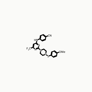 COc1ccc(SN2CCN(c3nc(Nc4ccc(C#N)cc4)cc(C(F)(F)F)n3)CC2)cc1